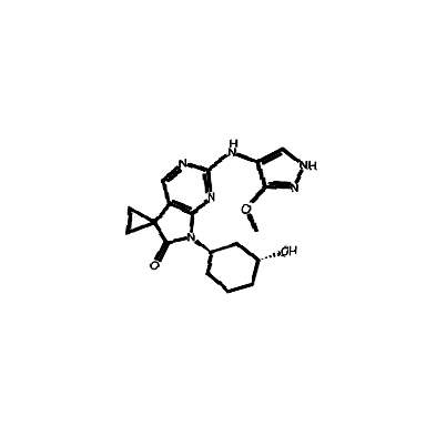 COc1n[nH]cc1Nc1ncc2c(n1)N([C@@H]1CCC[C@@H](O)C1)C(=O)C21CC1